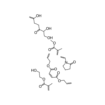 C=C(C)C(=O)OC.C=C(C)C(=O)OCCO.C=C(O)CCC(=O)C(O)CO.C=CCOC(=O)/C=C\C(=O)OCC=C.C=CN1CCCC1=O